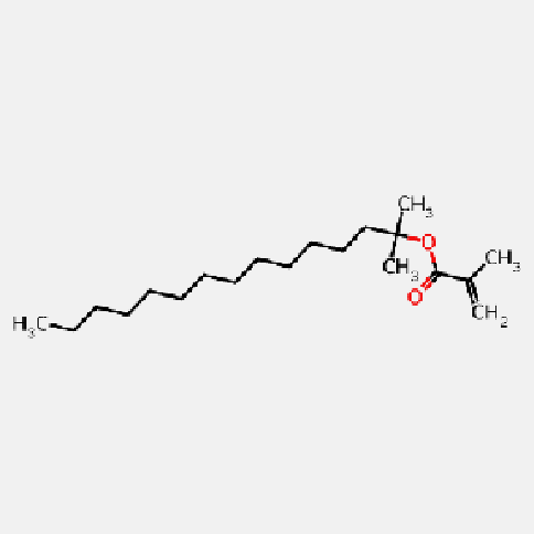 C=C(C)C(=O)OC(C)(C)CCCCCCCCCCCCC